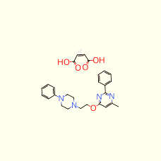 Cc1cc(OCCN2CCN(c3ccccc3)CC2)nc(-c2ccccc2)n1.O=C(O)/C=C\C(=O)O